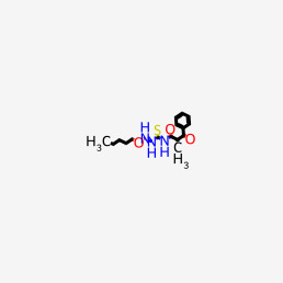 CCCCCONNC(=S)NC(=O)C(C)C(=O)c1ccccc1